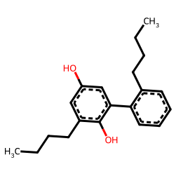 CCCCc1ccccc1-c1cc(O)cc(CCCC)c1O